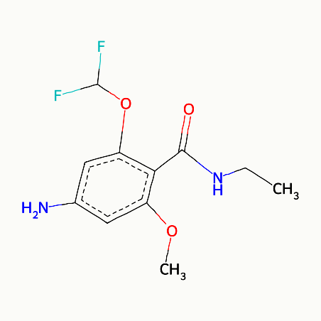 CCNC(=O)c1c(OC)cc(N)cc1OC(F)F